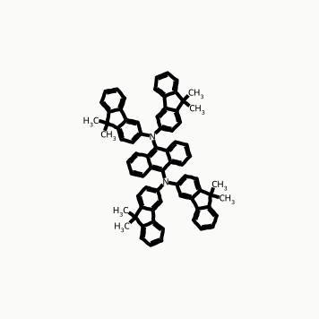 CC1(C)c2ccccc2-c2cc(N(c3ccc4c(c3)-c3ccccc3C4(C)C)c3c4ccccc4c(N(c4ccc5c(c4)-c4ccccc4C5(C)C)c4ccc5c(c4)-c4ccccc4C5(C)C)c4ccccc34)ccc21